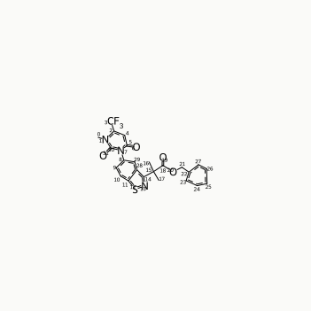 Cn1c(C(F)(F)F)cc(=O)n(-c2ccc3snc(C(C)(C)C(=O)OCc4ccccc4)c3c2)c1=O